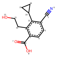 N#Cc1ccc(C(=O)O)c(CCO)c1C1CC1